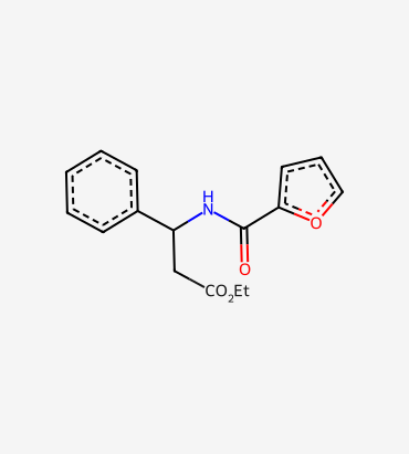 CCOC(=O)CC(NC(=O)c1ccco1)c1ccccc1